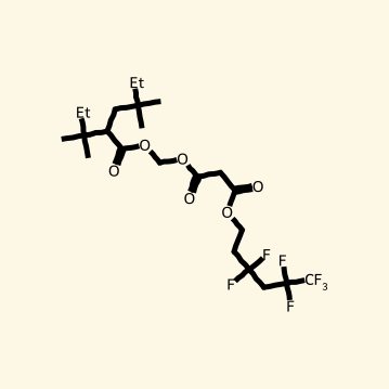 CCC(C)(C)CC(C(=O)OCOC(=O)CC(=O)OCCC(F)(F)CC(F)(F)C(F)(F)F)C(C)(C)CC